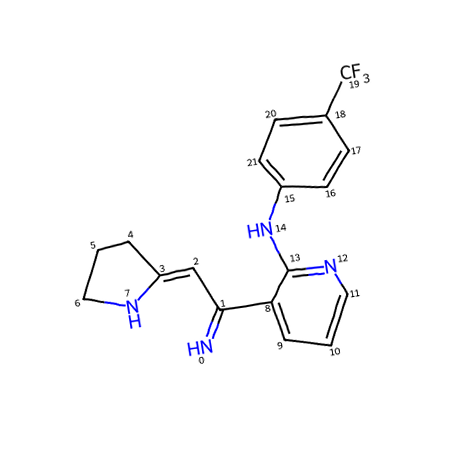 N=C(/C=C1/CCCN1)c1cccnc1Nc1ccc(C(F)(F)F)cc1